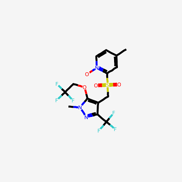 Cc1cc[n+]([O-])c(S(=O)(=O)Cc2c(C(F)(F)F)nn(C)c2OCC(F)(F)F)c1